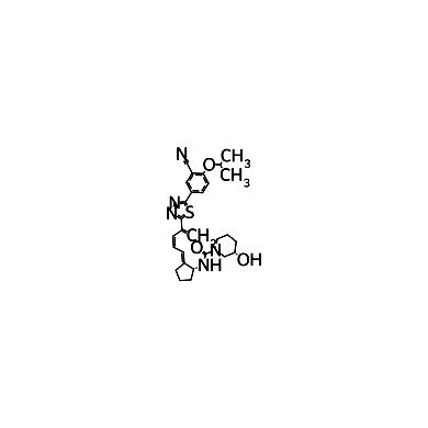 C=C(/C=C\C=C1/CCC[C@H]1NC(=O)N1CCC[C@H](O)C1)c1nnc(-c2ccc(OC(C)C)c(C#N)c2)s1